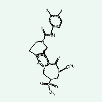 CN1CC(S(C)(=O)=O)Cn2nc3c(c2C1=O)CN(C(=O)Nc1ccc(F)c(Cl)c1)CC3